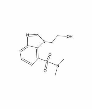 CN(C)S(=O)(=O)c1cccc2ncn(CCO)c12